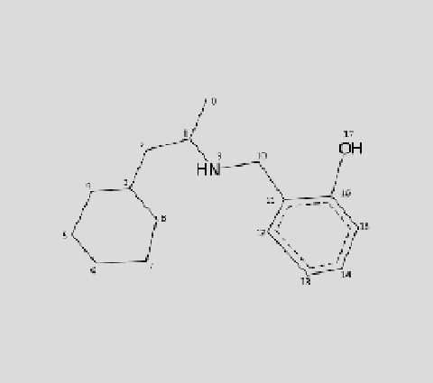 CC(CC1CCCCC1)NCc1ccccc1O